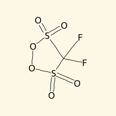 O=S1(=O)OOS(=O)(=O)C1(F)F